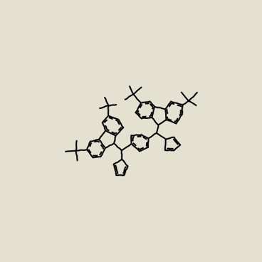 CC(C)(C)c1ccc2c(c1)-c1cc(C(C)(C)C)ccc1C2C(c1ccc(C(C2C=CC=C2)C2c3ccc(C(C)(C)C)cc3-c3cc(C(C)(C)C)ccc32)cc1)C1C=CC=C1